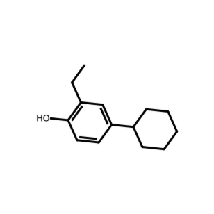 CCc1cc(C2CCCCC2)ccc1O